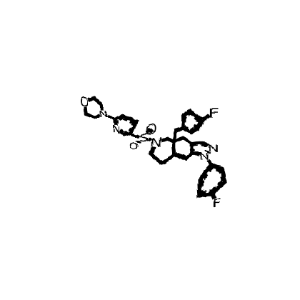 O=S(=O)(c1ccc(N2CCOCC2)nc1)N1CCC2=Cc3c(cnn3-c3ccc(F)cc3)CC2(Cc2ccc(F)cc2)C1